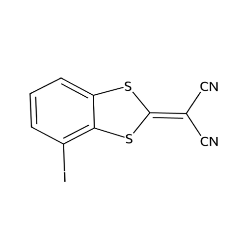 N#CC(C#N)=C1Sc2cccc(I)c2S1